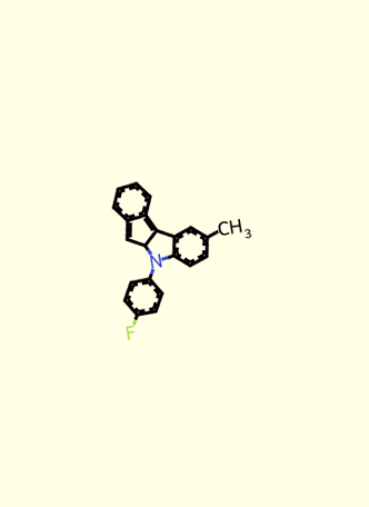 Cc1ccc2c(c1)C1=c3ccccc3=CC1N2c1ccc(F)cc1